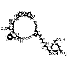 CC[C@@H]1NC(=O)[C@@H]2CCCN2C(=O)[C@@H]2CCCN2C(=O)CCSCc2cc(CSCCNC(=O)CCC(C(=O)O)N3CCN(CC(=O)O)CCN(CC(=O)O)CC3)cc(c2)CSCCNC(=O)[C@H](Cc2ccccc2)NC(=O)[C@H](CCC(=O)O)NC1=O